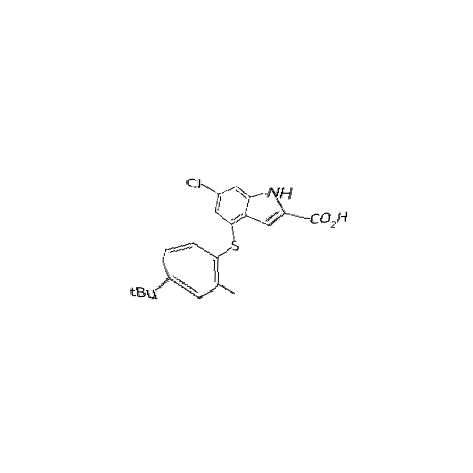 Cc1cc(C(C)(C)C)ccc1Sc1cc(Cl)cc2[nH]c(C(=O)O)cc12